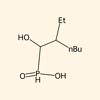 CCCCC(CC)C(O)[PH](=O)O